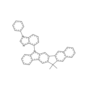 CC1(C)c2cc3ccccc3cc2-c2cc3c(cc21)c1ccccc1n3-c1cccc2c1ncn2-c1ccccc1